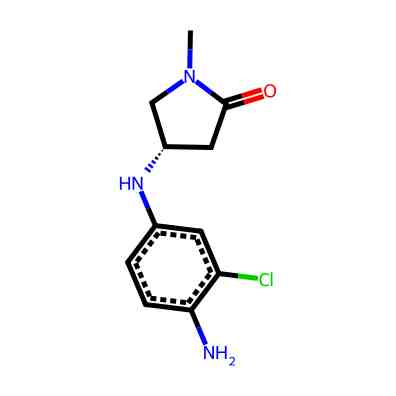 CN1C[C@@H](Nc2ccc(N)c(Cl)c2)CC1=O